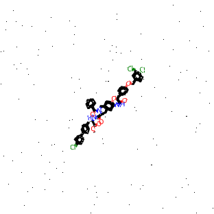 COC(=O)[C@H](Cc1ccc(-c2ccc(Cl)cc2)cc1)NC(=O)C1Cc2cc3c(cc2CN1C(=O)c1ccccc1)OC(c1ccc(OCc2ccc(Cl)c(Cl)c2)cc1)C(=O)N3